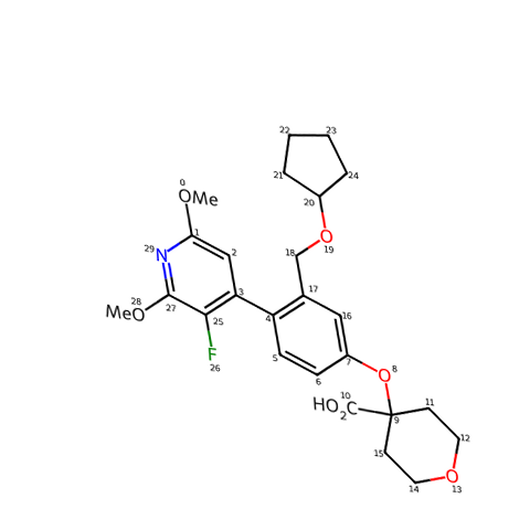 COc1cc(-c2ccc(OC3(C(=O)O)CCOCC3)cc2COC2CCCC2)c(F)c(OC)n1